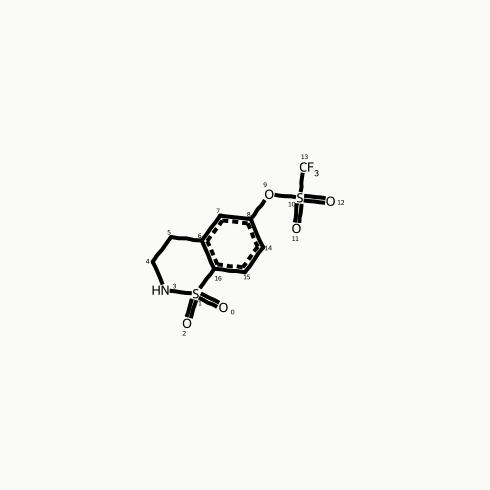 O=S1(=O)NCCc2cc(OS(=O)(=O)C(F)(F)F)ccc21